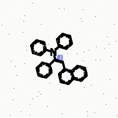 C(=C(/c1ccccc1)N(c1ccccc1)c1ccccc1)/c1cccc2ccccc12